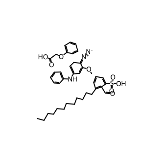 CCCCCCCCCCCCc1cccc(S(=O)(=O)O)c1C=O.COC1=CC(Nc2ccccc2)=CCC1=[N+]=[N-].O=C(O)COc1ccccc1